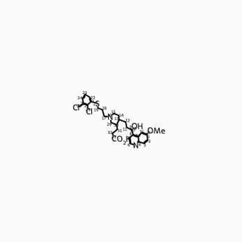 COc1ccc2nccc([C@@H](O)CCC3CCN(CCCSc4cccc(Cl)c4Cl)CC3CCC(=O)O)c2c1